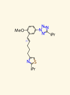 COc1ccc(-n2nnc(C(C)C)n2)cc1/C=C/CCCc1csc(C(C)C)n1